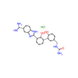 Cl.N=C(N)c1ccc2[nH]c(-c3cccc(-c4cc(CNC(N)=O)ccc4O)c3O)nc2c1